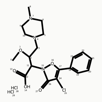 COC(CN1CCN(C)CC1)C(C(=O)O)n1oc(-c2ccccc2)c(Cl)c1=O.Cl.Cl